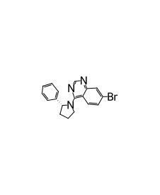 Brc1ccc2c(N3CCC[C@@H]3c3ccccc3)ncnc2c1